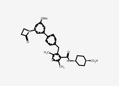 COc1cc(-c2ccc(Cc3c(C)sc(C)c3C(=O)N[C@H]3CC[C@@H](C(=O)O)CC3)cc2)cc(N2CCC2=O)c1